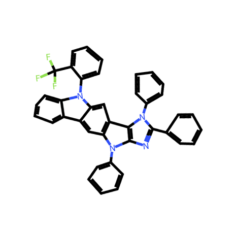 FC(F)(F)c1ccccc1-n1c2ccccc2c2cc3c(cc21)c1c(nc(-c2ccccc2)n1-c1ccccc1)n3-c1ccccc1